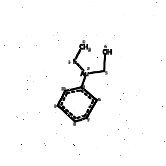 C[S][Au]([CH2]O)[c]1ccccc1